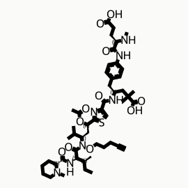 C#CCCCON(C(=O)[C@@H](NC(=O)[C@H]1CCCCN1C)[C@@H](C)CC)[C@H](C[C@@H](OC(C)=O)c1nc(C(=O)N[C@@H](Cc2ccc(NC(=O)[C@@H](CCC(=O)O)NC)cc2)CC(C)(C)C(=O)O)cs1)C(C)C